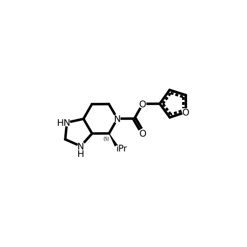 CC(C)[C@H]1C2NCNC2CCN1C(=O)Oc1ccoc1